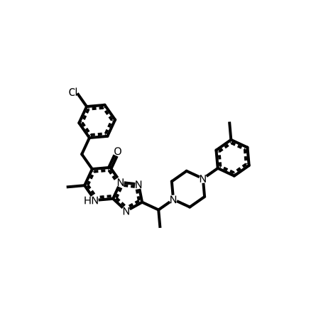 Cc1cccc(N2CCN(C(C)c3nc4[nH]c(C)c(Cc5cccc(Cl)c5)c(=O)n4n3)CC2)c1